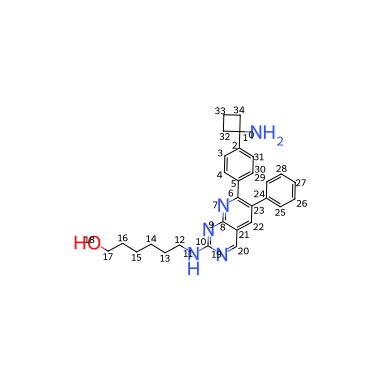 NC1(c2ccc(-c3nc4nc(NCCCCCCO)ncc4cc3-c3ccccc3)cc2)CCC1